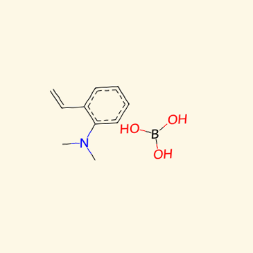 C=Cc1ccccc1N(C)C.OB(O)O